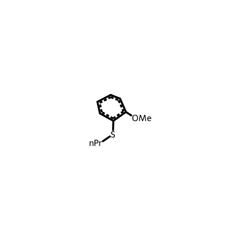 CCCSc1ccccc1OC